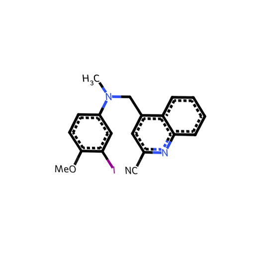 COc1ccc(N(C)Cc2cc(C#N)nc3ccccc23)cc1I